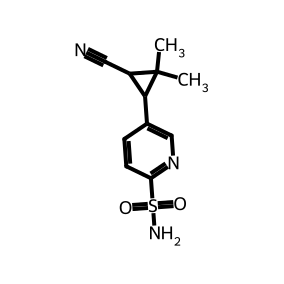 CC1(C)C(C#N)C1c1ccc(S(N)(=O)=O)nc1